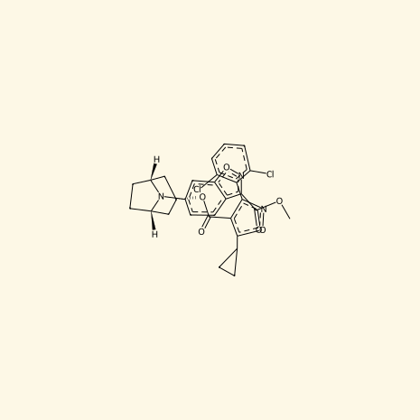 COC(=O)c1noc2cc(N3[C@@H]4CC[C@H]3C[C@@H](OC(=O)c3c(-c5c(Cl)cccc5Cl)noc3C3CC3)C4)ccc12